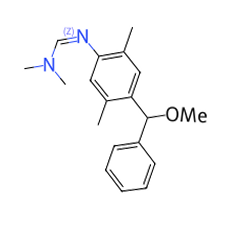 COC(c1ccccc1)c1cc(C)c(/N=C\N(C)C)cc1C